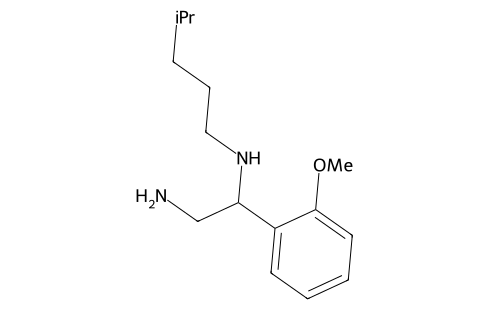 COc1ccccc1C(CN)NCCCC(C)C